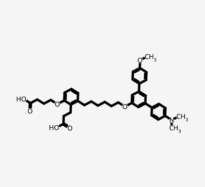 COc1ccc(-c2cc(OCCCCCCc3cccc(OCCCC(=O)O)c3CCC(=O)O)cc(-c3ccc(N(C)C)cc3)c2)cc1